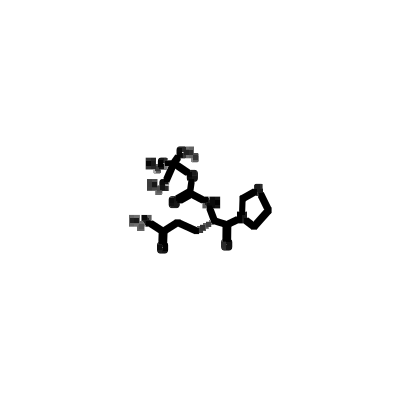 CC(C)(C)OC(=O)N[C@@H](CCC(N)=O)C(=O)N1CCSC1